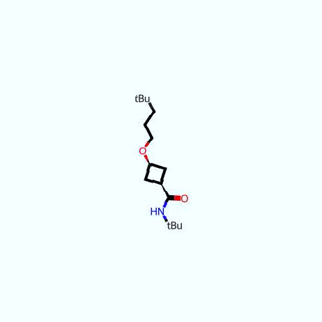 CC(C)(C)CCCO[C@H]1C[C@@H](C(=O)NC(C)(C)C)C1